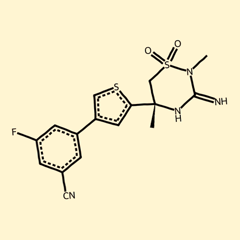 CN1C(=N)N[C@](C)(c2cc(-c3cc(F)cc(C#N)c3)cs2)CS1(=O)=O